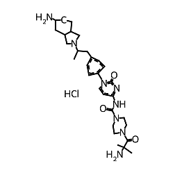 CC(Cc1ccc(-n2ccc(NC(=O)N3CCN(C(=O)C(C)(C)N)CC3)nc2=O)cc1)N1CC2CCC(N)CC2C1.Cl